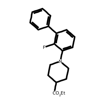 CCOC(=O)C1CCN(c2cccc(-c3ccccc3)c2F)CC1